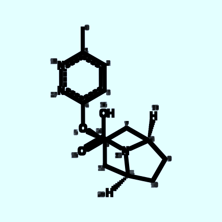 Cc1ccc(O[C@H]2C[C@H]3CC[C@@H](C2)N3C(=O)O)nn1